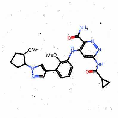 COc1c(Nc2cc(NC(=O)C3CC3)nnc2C(N)=O)cccc1-c1cnn(C2CCC[C@H]2OC)c1